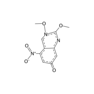 COc1nc2cc(=O)cc([N+](=O)[O-])c-2cn1OC